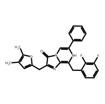 Cc1cc(Cc2nc3c(Cc4cccc(F)c4F)[nH]c(-c4ccccc4)cn-3c2=O)oc1C